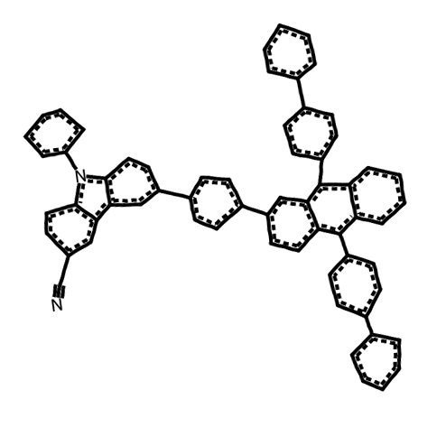 N#Cc1ccc2c(c1)c1cc(-c3ccc(-c4ccc5c(-c6ccc(-c7ccccc7)cc6)c6ccccc6c(-c6ccc(-c7ccccc7)cc6)c5c4)cc3)ccc1n2-c1ccccc1